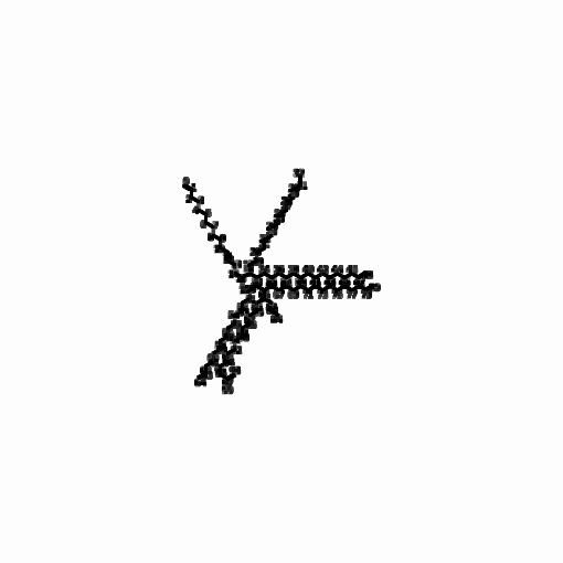 C=CCCCCCCCCCCCCCC(=C)C(CCCCCCCCCCCCCC=C)C(CCCCCCCCCCCCCC=C)C(CCCCCCCCCCCCCC=C)C(CCCCCCCCCCCCCC=C)C(CCC)CCCCCCCCCCCCC(=C)C